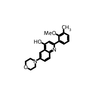 COc1c(C)cccc1-c1cc(O)c2cc(N3CCOCC3)ccc2n1